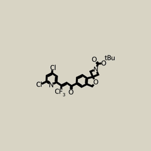 CC(C)(C)OC(=O)N1CC2(C1)OCc1cc(C(=O)/C=C(/c3cc(Cl)cc(Cl)n3)C(F)(F)F)ccc12